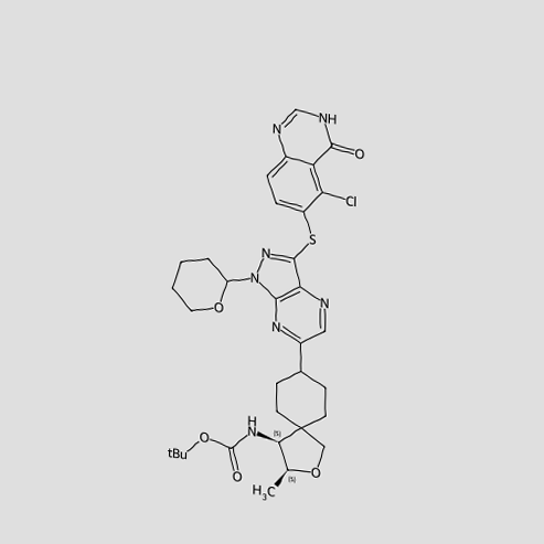 C[C@@H]1OCC2(CCC(c3cnc4c(Sc5ccc6nc[nH]c(=O)c6c5Cl)nn(C5CCCCO5)c4n3)CC2)[C@@H]1NC(=O)OC(C)(C)C